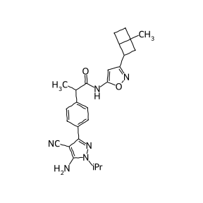 CC(C(=O)Nc1cc(C2CC3(C)CCC23)no1)c1ccc(-c2nn(C(C)C)c(N)c2C#N)cc1